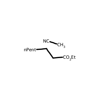 CC#N.CCCCCCCC(=O)OCC